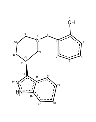 Oc1ccccc1CN1CCC[C@H](c2n[nH]c3ccccc23)C1